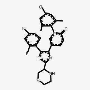 Cc1cc(Cl)cc(C)c1-n1cc(-c2nc(C3COCCN3)oc2-c2ccc(F)cc2F)ccc1=O